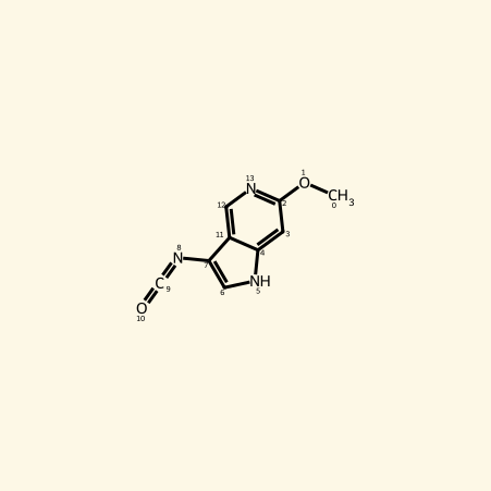 COc1cc2[nH]cc(N=C=O)c2cn1